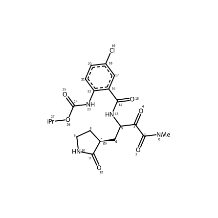 CNC(=O)C(=O)C(C[C@@H]1CCNC1=O)NC(=O)c1cc(Cl)ccc1NC(=O)OC(C)C